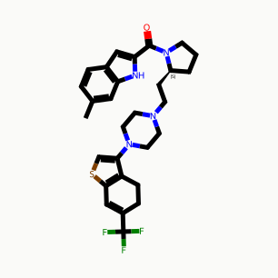 Cc1ccc2cc(C(=O)N3CCC[C@H]3CCN3CCN(c4csc5c4CCC(C(F)(F)F)=C5)CC3)[nH]c2c1